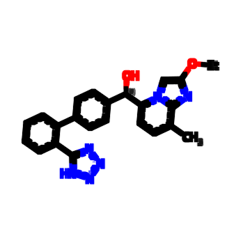 CCOc1cn2c([C@H](O)c3ccc(-c4ccccc4-c4nnn[nH]4)cc3)ccc(C)c2n1